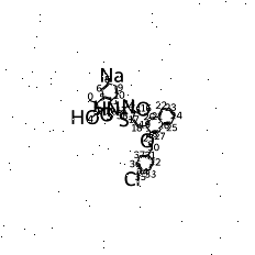 CC(C(=O)O)c1c[c]([Na])ccc1NC1=NC(=O)C(=Cc2cc3ccccc3cc2OCc2ccc(Cl)cc2)S1